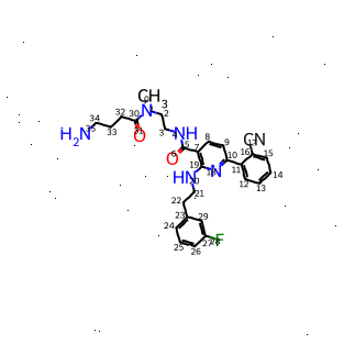 CN(CCNC(=O)c1ccc(-c2ccccc2C#N)nc1NCCc1cccc(F)c1)C(=O)CCCN